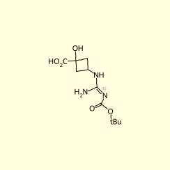 CC(C)(C)OC(=O)/N=C(\N)NC1CC(O)(C(=O)O)C1